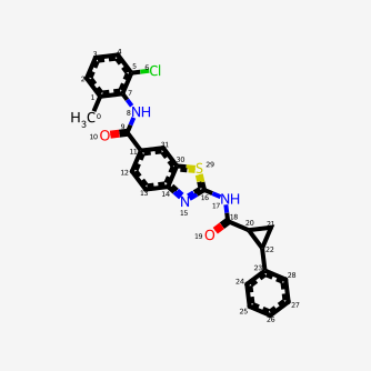 Cc1cccc(Cl)c1NC(=O)c1ccc2nc(NC(=O)C3CC3c3ccccc3)sc2c1